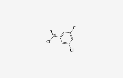 C[C@H](Cl)c1cc(Cl)cc(Cl)c1